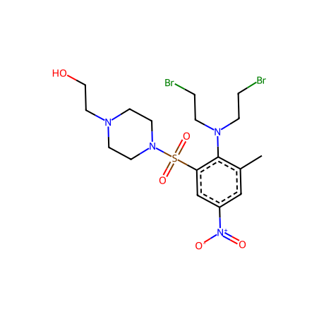 Cc1cc([N+](=O)[O-])cc(S(=O)(=O)N2CCN(CCO)CC2)c1N(CCBr)CCBr